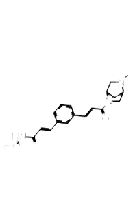 CN1CC2CC1CN2C(=O)/C=C/c1cccc(/C=C/C(=O)NO)c1